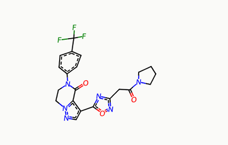 O=C(Cc1noc(-c2cnn3c2C(=O)N(c2ccc(C(F)(F)F)cc2)CC3)n1)N1CCCC1